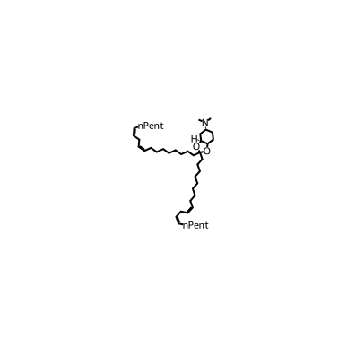 CCCCC/C=C\C/C=C\CCCCCCCCC1(CCCCCCCC/C=C\C/C=C\CCCCC)OC2CC[C@@H](N(C)C)C[C@@H]2O1